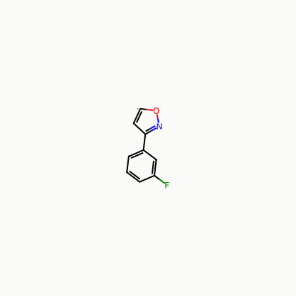 Fc1cccc(-c2c[c]on2)c1